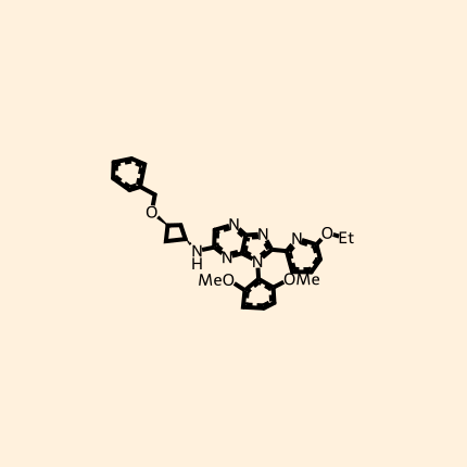 CCOc1cccc(-c2nc3ncc(N[C@H]4C[C@H](OCc5ccccc5)C4)nc3n2-c2c(OC)cccc2OC)n1